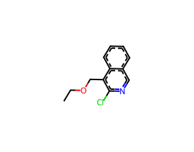 CCOCc1c(Cl)ncc2ccccc12